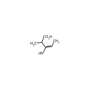 CC=C(CCC)C(C)C(=O)O